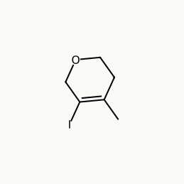 CC1=C(I)COCC1